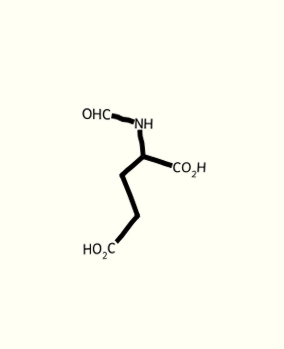 O=CNC(CCC(=O)O)C(=O)O